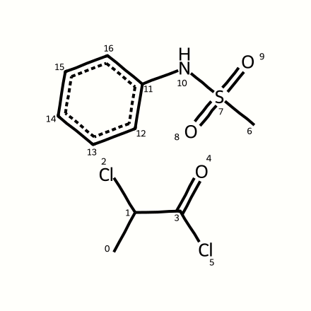 CC(Cl)C(=O)Cl.CS(=O)(=O)Nc1ccccc1